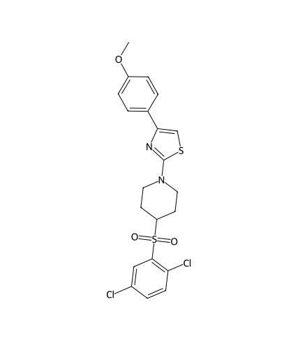 COc1ccc(-c2csc(N3CCC(S(=O)(=O)c4cc(Cl)ccc4Cl)CC3)n2)cc1